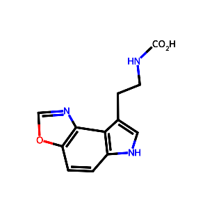 O=C(O)NCCc1c[nH]c2ccc3ocnc3c12